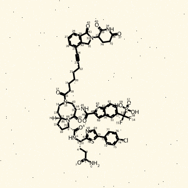 NC(=O)CC[C@H](NC(=O)[C@@H]1CC[C@@H]2CCN(C(=O)CCCCCC#Cc3cccc4c3CN(C3CCC(=O)NC3=O)C4=O)C[C@H](NC(=O)c3cc4cc(C(F)(F)P(=O)(O)O)ccc4s3)C(=O)N21)c1ncc(-c2ccc(Cl)cc2)s1